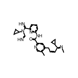 C/N=C(\C=C/Cc1cc(C(=O)Nc2cccc(C(=N)N(C=N)C3CC3)n2)ncc1C)C1CC1